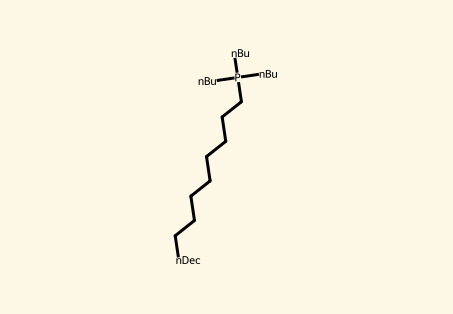 CCCCCCCCCCCCCCCCCC[P](CCCC)(CCCC)CCCC